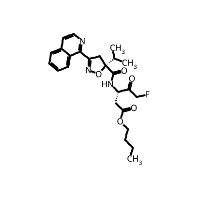 CCCCOC(=O)C[C@H](NC(=O)[C@]1(C(C)C)CC(c2nccc3ccccc23)=NO1)C(=O)CF